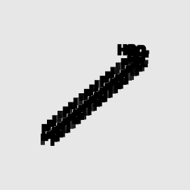 O=S(=O)(O)C(F)(F)C(F)(F)C(F)(F)C(F)(F)C(F)(F)C(F)(F)C(F)(F)C(F)(F)C(F)(F)C(F)(F)C(F)(F)C(F)(F)C(F)(F)C(F)(F)C(F)(F)C(F)(F)C(F)(F)C(F)(F)F